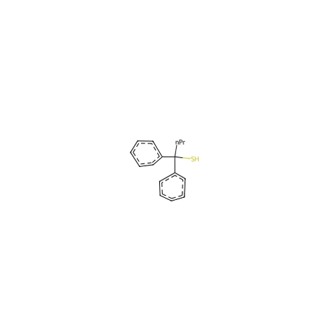 CCCC(S)(c1ccccc1)c1ccccc1